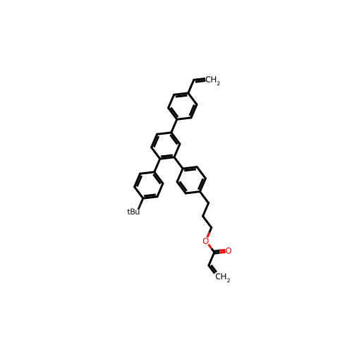 C=CC(=O)OCCCc1ccc(-c2cc(-c3ccc(C=C)cc3)ccc2-c2ccc(C(C)(C)C)cc2)cc1